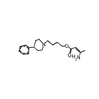 CC(N)=CC(=O)OCCCCN1CCC(c2ccccc2)CC1